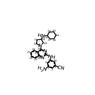 N#Cc1cc(N)cc(Nc2nc(N3CCC(NC4CCCCC4)C3)c3ccccc3n2)c1